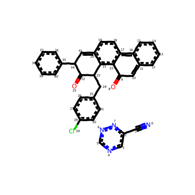 N#Cc1cncnn1.O=C1C=c2ccccc2=c2ccc3c(c21)C(Cc1ccc(Cl)cc1)C(=O)C(c1ccccc1)C=3